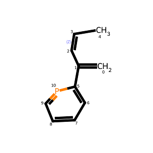 C=C(/C=C\C)c1ccccp1